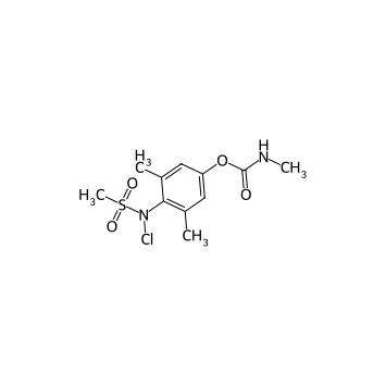 CNC(=O)Oc1cc(C)c(N(Cl)S(C)(=O)=O)c(C)c1